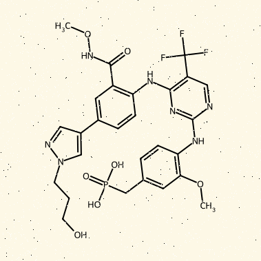 CONC(=O)c1cc(-c2cnn(CCCO)c2)ccc1Nc1nc(Nc2ccc(CP(=O)(O)O)cc2OC)ncc1C(F)(F)F